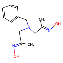 C/C(CN(C/C(C)=N/O)Cc1ccccc1)=N\O